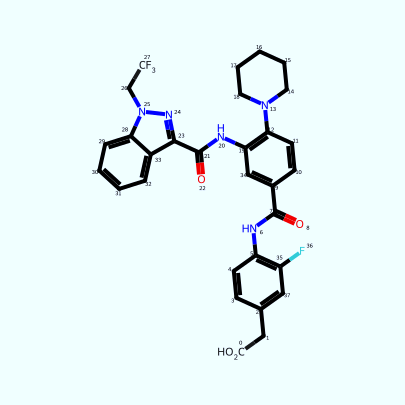 O=C(O)Cc1ccc(NC(=O)c2ccc(N3CCCCC3)c(NC(=O)c3nn(CC(F)(F)F)c4ccccc34)c2)c(F)c1